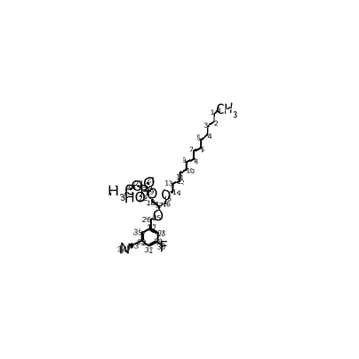 CCCCCCCCCCCCCCCOC[C@H](COP(=O)(O)OC)OCc1cc(F)cc(C#N)c1